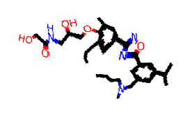 CCCCN(C)Cc1cc(-c2nc(-c3cc(C)c(OCC(O)CNC(=O)CO)c(CC)c3)no2)cc(C(C)C)c1